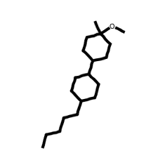 CCCCCC1CCC(C2CCC(C)(OC)CC2)CC1